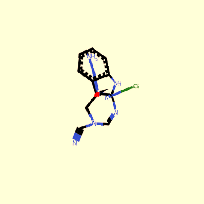 N#CN1C=NC23Nc4ccccc4C2(C1)CN(N)CN3Cl